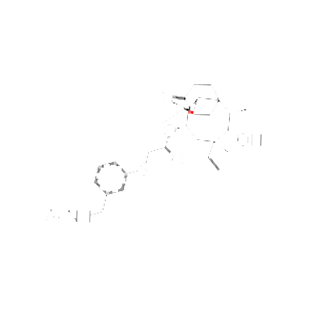 C=C[C@]1(C)C[C@@H](OC(=O)CSc2cccc(CNC(C)=O)c2)[C@]2(C)C(C)CC34CC(CCC3=O)(C42)[C@@H](C)[C@@H]1O